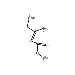 CCCCOC(=O)/C=C(\N)COC(C)=O